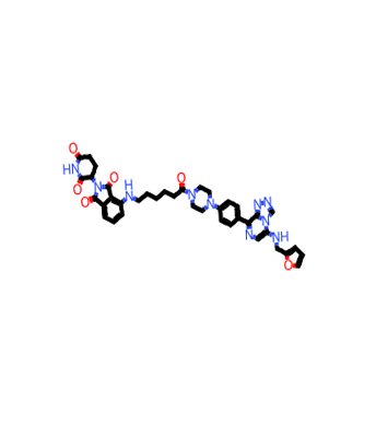 O=C1CCC(N2C(=O)c3cccc(NCCCCCC(=O)N4CCN(c5ccc(-c6ncc(NCc7ccco7)n7cnnc67)cc5)CC4)c3C2=O)C(=O)N1